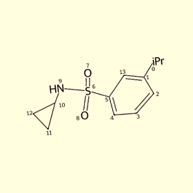 CC(C)c1cccc(S(=O)(=O)NC2CC2)c1